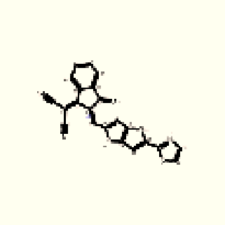 N#CC(C#N)=C1/C(=C/c2cc3sc(-c4nccs4)cc3s2)C(=O)c2ccccc21